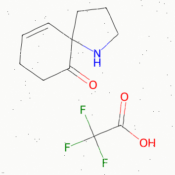 O=C(O)C(F)(F)F.O=C1CCC=CC12CCCN2